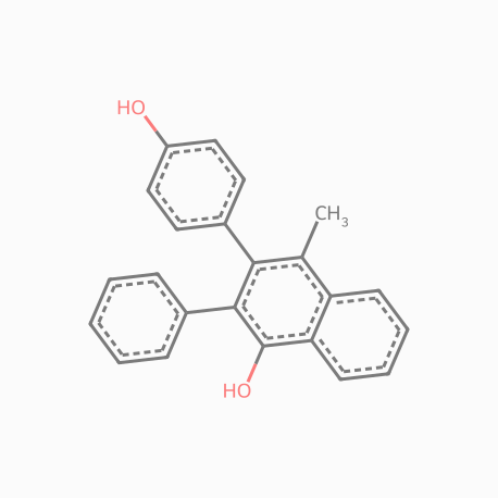 Cc1c(-c2ccc(O)cc2)c(-c2ccccc2)c(O)c2ccccc12